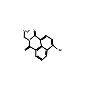 CC(C)(C)c1ccc2c3c(cccc13)C(=O)N(CC(=O)O)C2=O